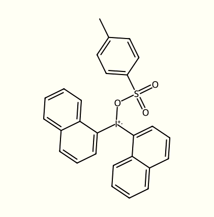 Cc1ccc(S(=O)(=O)O[I+](c2cccc3ccccc23)c2cccc3ccccc23)cc1